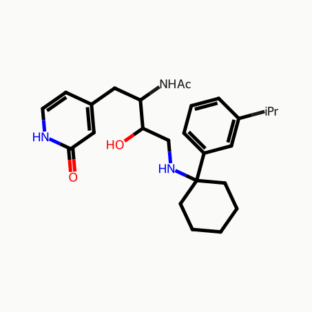 CC(=O)NC(Cc1cc[nH]c(=O)c1)C(O)CNC1(c2cccc(C(C)C)c2)CCCCC1